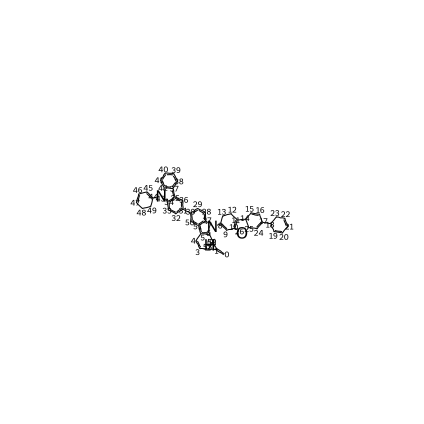 C=C1C2C=Cc3c(n(C4=CC5=C(CC4)C4C=CC(C6C=CC=CC6)=CC4O5)c4ccc(-c5ccc6c(c5)c5ccccc5n6C5=CC=CCC5)cc34)[C@@H]12